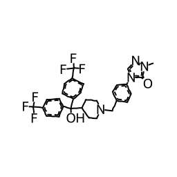 Cn1ncn(-c2ccc(CN3CCC(C(O)(c4ccc(C(F)(F)F)cc4)c4ccc(C(F)(F)F)cc4)CC3)cc2)c1=O